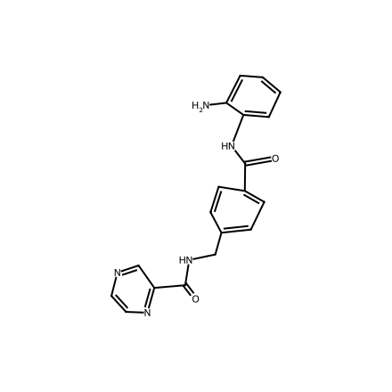 Nc1ccccc1NC(=O)c1ccc(CNC(=O)c2cnccn2)cc1